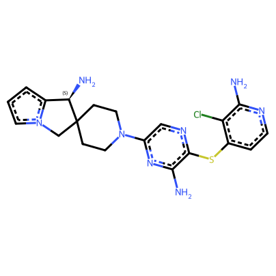 Nc1nc(N2CCC3(CC2)Cn2cccc2[C@H]3N)cnc1Sc1ccnc(N)c1Cl